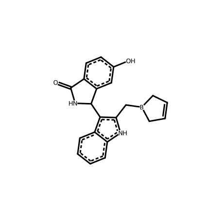 O=C1NC(c2c(CB3CC=CC3)[nH]c3ccccc23)c2cc(O)ccc21